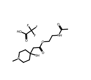 CC(=O)NCCOC(=O)CC1(S)CCN(C)CC1.O=C(O)C(F)(F)F